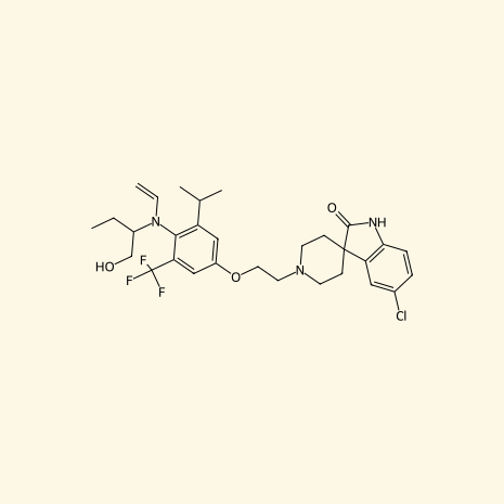 C=CN(c1c(C(C)C)cc(OCCN2CCC3(CC2)C(=O)Nc2ccc(Cl)cc23)cc1C(F)(F)F)C(CC)CO